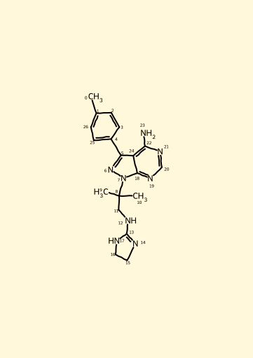 Cc1ccc(-c2nn(C(C)(C)CNC3=NCCN3)c3ncnc(N)c23)cc1